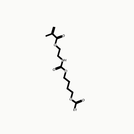 C=C(C)C(=O)OCCNC(=O)OCCCCOC(=O)CC